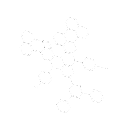 CC(C)(C)c1ccc(N2c3cc(-c4cc(-c5ccccc5)nc(-c5ccccc5)n4)cc4c3B(c3c2cc2c5cccc6cccc(c7cccc3c72)c65)c2c(cc3c5cccc6cccc(c7cccc2c73)c65)N4c2ccc(C(C)(C)C)cc2)cc1